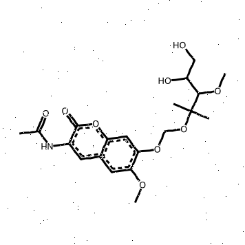 COc1cc2cc(NC(C)=O)c(=O)oc2cc1OCOC(C)(C)C(OC)C(O)CO